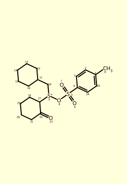 Cc1ccc(S(=O)(=O)O[S+](CC2CCCCC2)C2CCCCC2=O)cc1